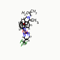 CC(C)CN1CC2Cc3ccc(O)cc3C23C2C4CCC3(C[C@@H]2CN4C2=NCC=C(C(F)(F)F)C=N2)C1C